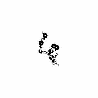 C=CC(=O)N1CCN(c2nc(OC[C@@H]3CCCN3CCc3ccc(OCc4cccc(I)c4)cc3)nc3c2CCN(c2cccc4cccc(Cl)c24)C3)C[C@@H]1CC#N